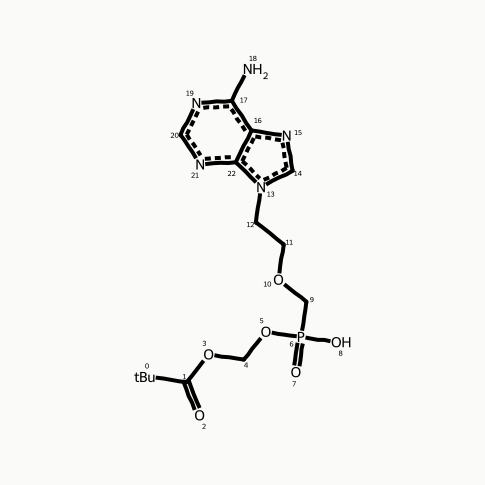 CC(C)(C)C(=O)OCOP(=O)(O)COCCn1cnc2c(N)ncnc21